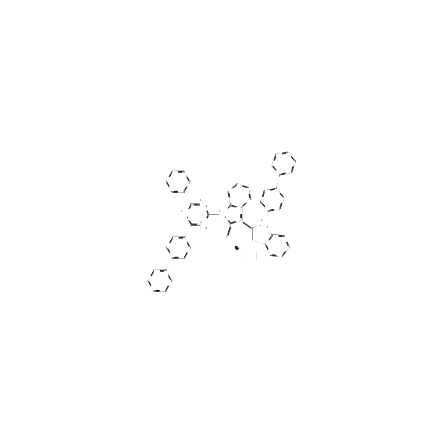 C#C/C=c1\c(=C2/Cc3ccccc3N2c2ccc(-c3ccccc3)cc2)c2ccccc2n1-c1nc(-c2ccccc2)nc(-c2ccc(-c3ccccc3)cc2)n1